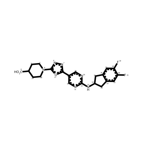 O=C(O)C1CCN(c2nnc(-c3cnc(NC4Cc5cc(F)c(F)cc5C4)nc3)o2)CC1